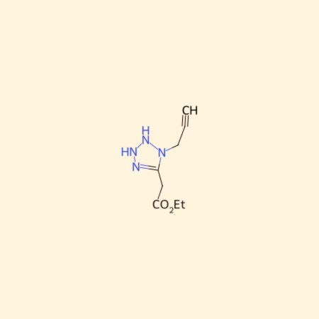 C#CCN1NNN=C1CC(=O)OCC